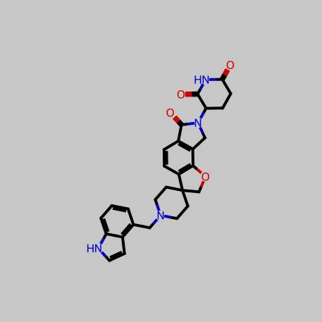 O=C1CCC(N2Cc3c(ccc4c3OCC43CCN(Cc4cccc5[nH]ccc45)CC3)C2=O)C(=O)N1